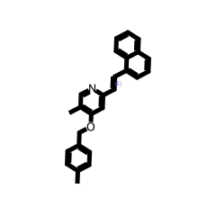 Cc1ccc(COc2cc(/C=C/c3cccc4ccccc34)ncc2C)cc1